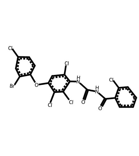 O=C(NC(=O)c1ccccc1Cl)Nc1c(Cl)cc(Oc2ccc(Cl)cc2Br)c(Cl)c1Cl